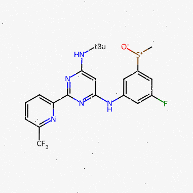 C[S+]([O-])c1cc(F)cc(Nc2cc(NC(C)(C)C)nc(-c3cccc(C(F)(F)F)n3)n2)c1